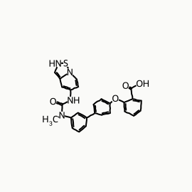 CN(C(=O)NC1=CC2=CNSN2C=C1)c1cccc(-c2ccc(Oc3ccccc3C(=O)O)cc2)c1